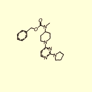 CN(C(=O)OCc1ccccc1)C1CCN(c2ccnc(N3CCCC3)n2)CC1